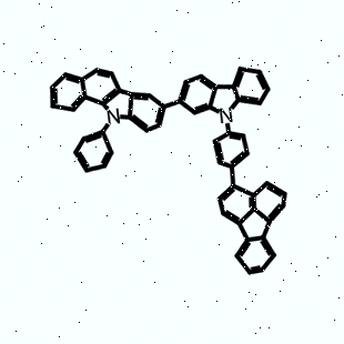 c1ccc(-n2c3ccc(-c4ccc5c6ccccc6n(-c6ccc(-c7ccc8c9c(cccc79)-c7ccccc7-8)cc6)c5c4)cc3c3ccc4ccccc4c32)cc1